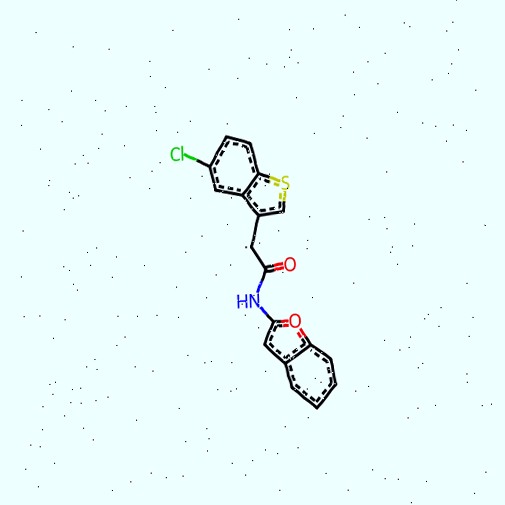 O=C([CH]c1csc2ccc(Cl)cc12)Nc1cc2ccccc2o1